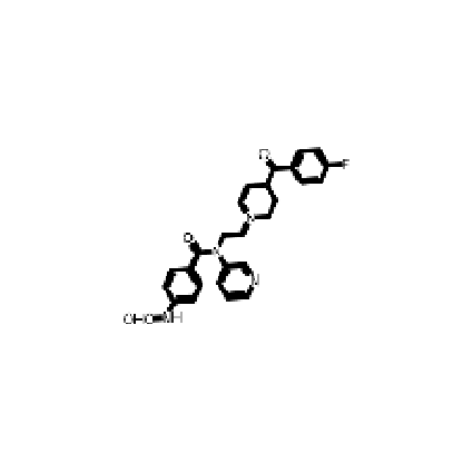 O=CNc1ccc(C(=O)N(CCN2CCC(C(=O)c3ccc(F)cc3)CC2)c2cccnc2)cc1